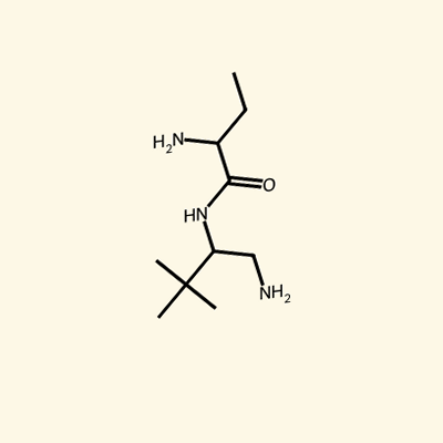 CCC(N)C(=O)NC(CN)C(C)(C)C